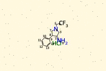 Cl.NC1CN(CC(F)(F)F)CC1c1ccccc1